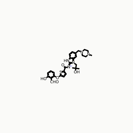 CN1CCN(Cc2ccc3[nH]/c(=N\C(=O)c4ccc(Oc5cccc(O)c5C=O)s4)n(CC(C)(C)O)c3c2)CC1